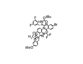 COc1ccc(CN(c2nn(CC(F)F)c3c(-n4c([C@H](Cc5cc(F)cc(F)c5)NC(=O)OC(C)(C)C)nc5cc(Br)ccc5c4=O)ccc(Cl)c23)S(C)(=O)=O)cc1